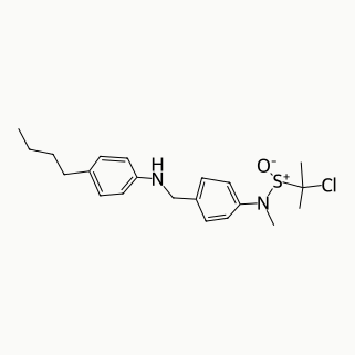 CCCCc1ccc(NCc2ccc(N(C)[S+]([O-])C(C)(C)Cl)cc2)cc1